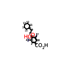 O=C(O)C1=CC(I)C(O)(OCCC2CCCCC2)C(I)=C1